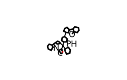 c1ccc2c(c1)Pc1cc(-c3cccc4c3oc3ccccc34)ccc1C21c2ccccc2-n2c3ccccc3c3cccc1c32